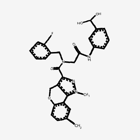 Cc1ccc2c(c1)-c1c(c(C(=O)N(CC(=O)Nc3cccc(C(O)O)c3)Cc3ccccc3F)nn1C)CO2